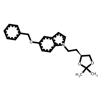 CC1(C)OC[C@H](CCn2ccc3cc(OCc4ccccc4)ccc32)O1